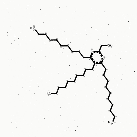 [CH2]Cc1nc(CCCCCCCCCC)c(CCCCCCCCCC)c(CCCCCCCCCC)n1